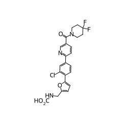 O=C(O)NCc1ccc(-c2ccc(-c3ccc(C(=O)N4CCC(F)(F)CC4)cn3)cc2Cl)o1